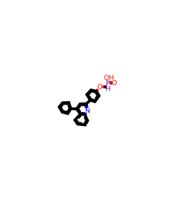 O=[PH](O)COc1ccc(-c2cc(-c3ccccc3)c3ccccc3n2)cc1